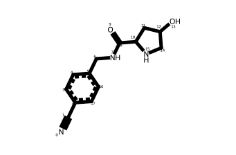 N#Cc1ccc(CNC(=O)C2CC(O)CN2)cc1